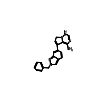 NC1=C2C(c3ccc4cn(Cc5ccccc5)nc4c3)=CCN2NC=N1